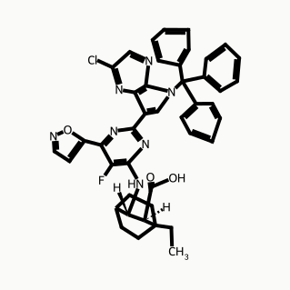 CCC12CCC(CC1)[C@H](Nc1nc(-c3cn(C(c4ccccc4)(c4ccccc4)c4ccccc4)c4ncc(Cl)nc34)nc(-c3ccno3)c1F)[C@H]2C(=O)O